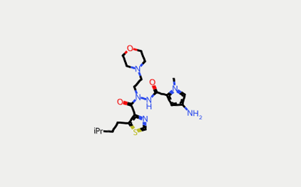 CC(C)CCc1scnc1C(=O)N(CCN1CCOCC1)NC(=O)c1cc(N)cn1C